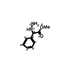 COC(=O)C(NN)c1ccccc1